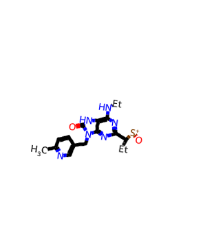 CCNc1nc(C(CC)[S+]=O)nc2c1[nH]c(=O)n2Cc1ccc(C)nc1